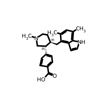 Cc1cc(C)c2[nH]ccc2c1C[C@@H]1CCN(C)C[C@H]1c1ccc(C(=O)O)cc1